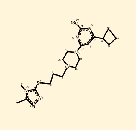 Cc1nnc(SCCCN2CCN(c3cc(C4CCC4)nc(C(C)(C)C)n3)CC2)n1C